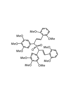 COc1cccc(OC)c1C=CC(c1cc(OC)c(OC)c(OC)c1)S(=O)(=O)C(C=Cc1c(OC)cccc1OC)c1cc(OC)c(OC)c(OC)c1